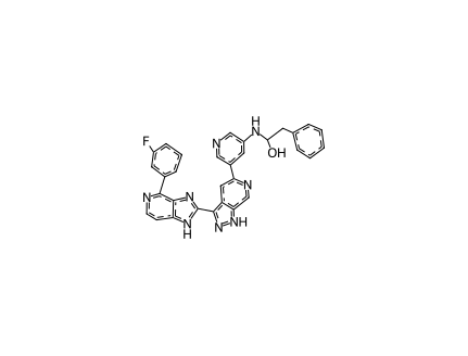 OC(Cc1ccccc1)Nc1cncc(-c2cc3c(-c4nc5c(-c6cccc(F)c6)nccc5[nH]4)n[nH]c3cn2)c1